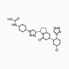 O=C(O)Nc1ccc(-n2cc(C3CCc4cc(-c5cc(Cl)ccc5-n5cnnn5)cc(=O)n43)nn2)cc1